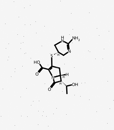 CC(O)[C@@H]1C(=O)N2C(C(=O)O)=C(S[C@H]3CN=C(N)NC3)C[C@H]12